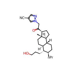 CCC[C@@H]1CC[C@@H]2[C@H](CC[C@]3(C)[C@@H](C(=O)Cn4cc(C#N)cn4)CC[C@@H]23)[C@H]1CCCO